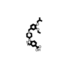 CCOc1cc(CN2CCC(n3nnc4cc(C(=O)O)ccc43)CC2)ccc1OCC(C)C